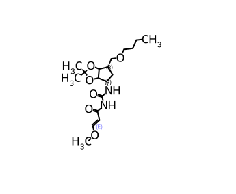 CCCCOC[C@H]1C[C@@H](NC(=O)NC(=O)/C=C/OC)C2OC(C)(C)OC21